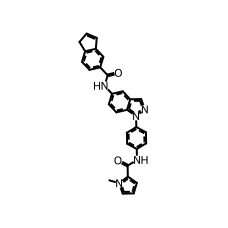 Cn1cccc1C(=O)Nc1ccc(-n2ncc3cc(NC(=O)c4ccc5c(c4)C=CC5)ccc32)cc1